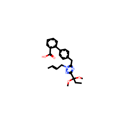 CC=CCn1nc(C(CC)(OC)OC)nc1Cc1ccc(-c2ccccc2C(=O)O)cc1